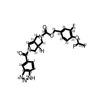 O=C(c1ccc2[nH]nnc2c1)N1C=C2CN(C(=O)OCc3ccc(OC(F)F)c(F)c3)C[C@@H]2C1